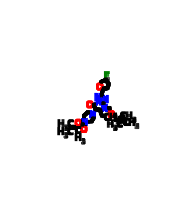 CCc1c(N2CCN(C(=O)OC(C)(C)C)CC2)c(=O)n2nc(C3=CC[C@H](F)CO3)nc2n1COCC[Si](C)(C)C